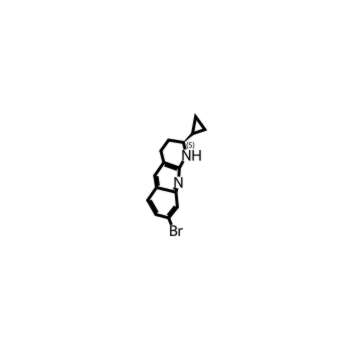 Brc1ccc2cc3c(nc2c1)N[C@H](C1CC1)CC3